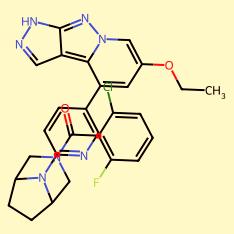 CCOc1cc(-c2ccc(N3C4CCC3CN(C(=O)c3c(F)cccc3Cl)C4)nc2)c2c3cn[nH]c3nn2c1